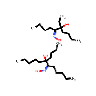 CCCCC(=NO)C(O)(CC)CCCC.CCCCCC(=NO)C(O)(CCCC)CCCCC